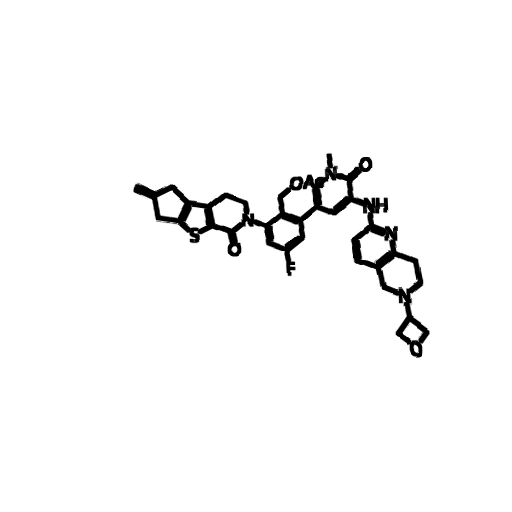 C=C1Cc2sc3c(c2C1)CCN(c1cc(F)cc(-c2cc(Nc4ccc5c(n4)CCN(C4COC4)C5)c(=O)n(C)c2)c1COC(C)=O)C3=O